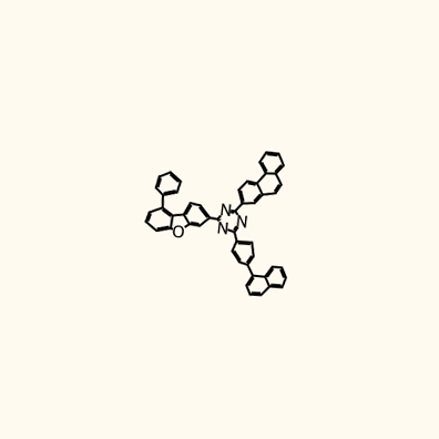 c1ccc(-c2cccc3oc4cc(-c5nc(-c6ccc(-c7cccc8ccccc78)cc6)nc(-c6ccc7c(ccc8ccccc87)c6)n5)ccc4c23)cc1